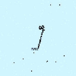 CCCCCCCCCCCCCCCCCCCCCCCCCCC(C)c1cccc2ccccc12